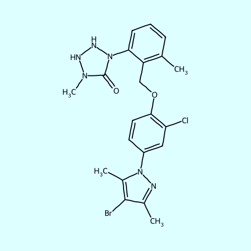 Cc1cccc(N2NNN(C)C2=O)c1COc1ccc(-n2nc(C)c(Br)c2C)cc1Cl